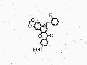 CCOc1ccc(C(=O)c2cn(Cc3ccccc3F)c3cc4c(cc3c2=O)OCO4)cc1